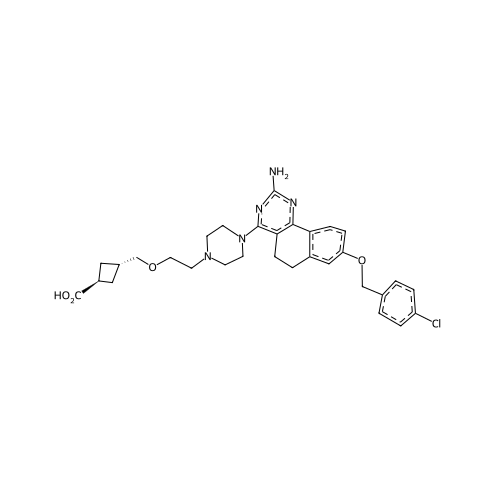 Nc1nc2c(c(N3CCN(CCOC[C@H]4C[C@H](C(=O)O)C4)CC3)n1)CCc1cc(OCc3ccc(Cl)cc3)ccc1-2